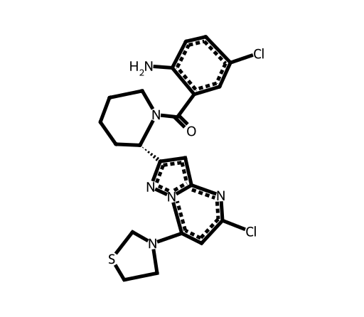 Nc1ccc(Cl)cc1C(=O)N1CCCC[C@H]1c1cc2nc(Cl)cc(N3CCSC3)n2n1